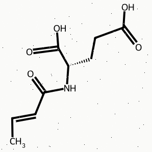 CC=CC(=O)N[C@@H](CCC(=O)O)C(=O)O